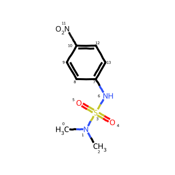 CN(C)S(=O)(=O)Nc1ccc([N+](=O)[O-])cc1